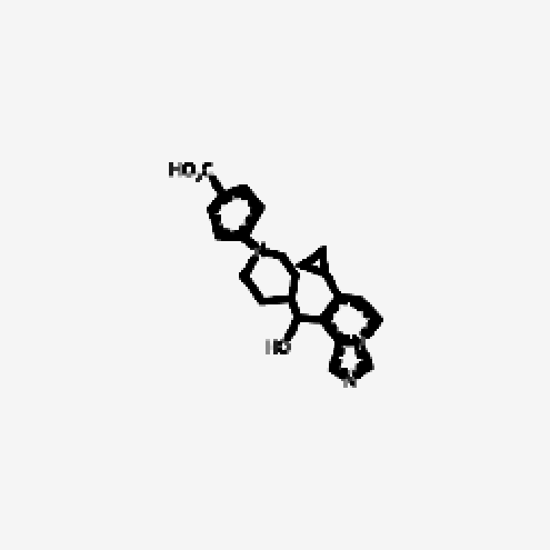 O=C(O)c1ccc(N2CCC(C(O)c3c(C4CC4)ccn4cncc34)CC2)cc1